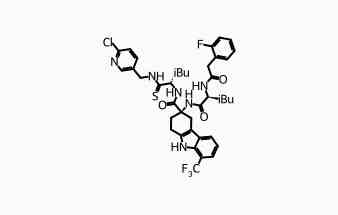 CCC(C)[C@H](NC(=O)Cc1ccccc1F)C(=O)N[C@]1(C(=O)NC(C(=S)NCc2ccc(Cl)nc2)[C@@H](C)CC)CCc2[nH]c3c(C(F)(F)F)cccc3c2C1